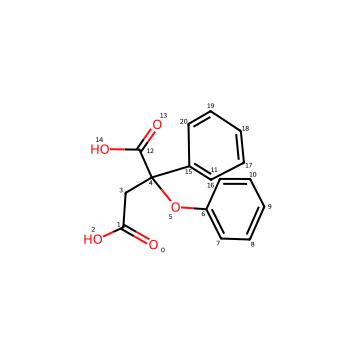 O=C(O)CC(Oc1ccccc1)(C(=O)O)c1ccccc1